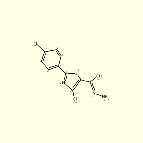 C/C(=N\N)c1sc(-c2ccc(Cl)cc2)nc1C